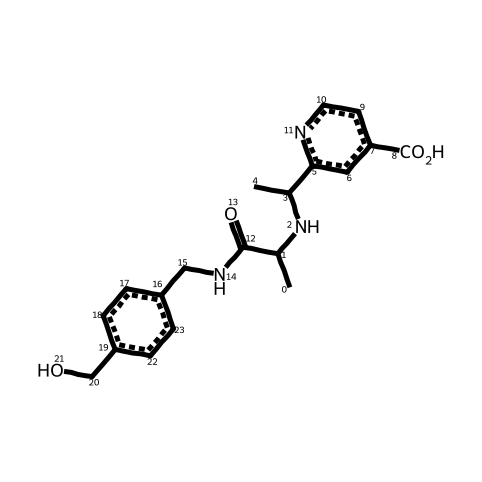 CC(NC(C)c1cc(C(=O)O)ccn1)C(=O)NCc1ccc(CO)cc1